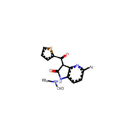 CC(=O)c1ccc2c(n1)C(C(=O)c1cccs1)C(=O)N2.CC(C)(C)NC=O